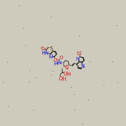 COc1ccc2nccc(/C=C/[C@@H]3CC[C@@H](NC(=O)Oc4ccc5c(n4)NC(=O)CS5)[C@@H](C[C@@H](O)CO)O3)c2n1